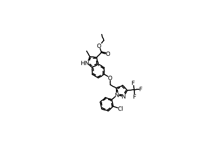 CCOC(=O)c1c(C)[nH]c2ccc(OCc3cc(C(F)(F)F)nn3-c3ccccc3Cl)cc12